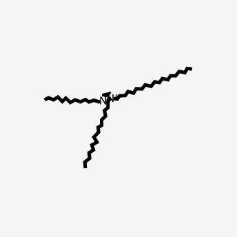 CCCCCCCCCCCCCCCCCCC[n+]1ccn(CCCCCCCCCCCCC)c1CCCCCCCCCCCCCCC